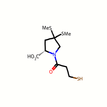 CSC1(SC)C[C@@H](C(=O)O)N(C(=O)CCS)C1